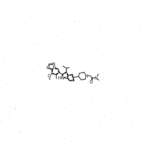 COc1c(C)c(-c2[nH]c3ccc(C4CCN(CC(=O)N(C)C)CC4)cc3c2C(C)C)cn2ncnc12